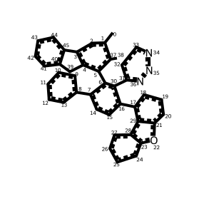 Cc1cc2c(c(-c3c(-c4ccccc4)ccc(-c4cccc5oc6ccccc6c45)c3-c3ccnnn3)c1C)Cc1ccccc1-2